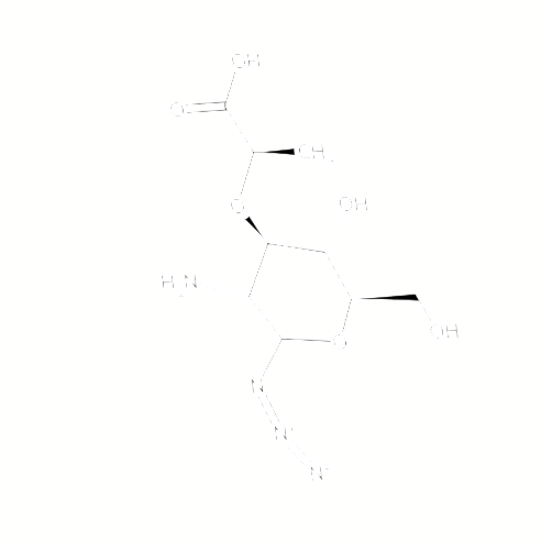 C[C@@H](O[C@H]1[C@H](O)[C@@H](CO)OC(N=[N+]=[N-])[C@@H]1N)C(=O)O